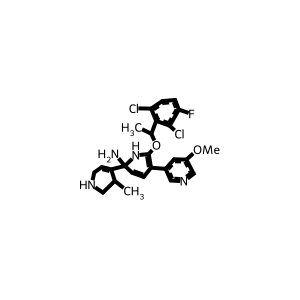 COc1cncc(C2=C(OC(C)c3c(Cl)ccc(F)c3Cl)NC(N)(C3=CCNCC3C)C=C2)c1